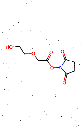 O=C(COCCO)ON1C(=O)CCC1=O